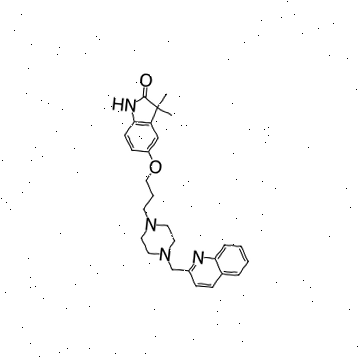 CC1(C)C(=O)Nc2ccc(OCCCN3CCN(Cc4ccc5ccccc5n4)CC3)cc21